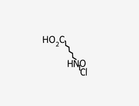 O=C(O)CCCCCCCNC(=O)CCl